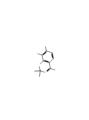 COc1c(Cl)ccc2c1SC(C)(C)N=C2Cl